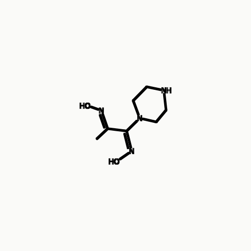 CC(=NO)C(=NO)N1CCNCC1